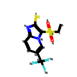 CCS(=O)(=O)c1c(S)nc2ccc(C(F)(F)F)cn12